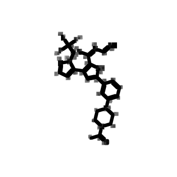 CC(=O)N1CCN(c2cccc(-c3cc(-c4ccnn4CC(F)(F)F)c(/C(N)=N\C=N)[nH]3)c2)CC1